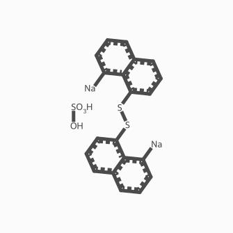 O=S(=O)(O)O.[Na][c]1cccc2cccc(SSc3cccc4ccc[c]([Na])c34)c12